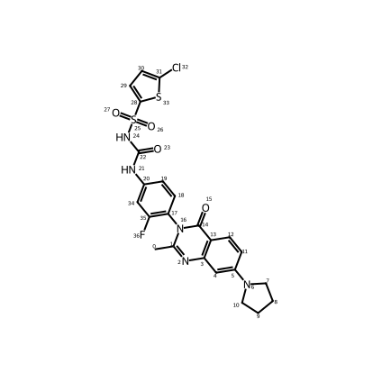 Cc1nc2cc(N3CCCC3)ccc2c(=O)n1-c1ccc(NC(=O)NS(=O)(=O)c2ccc(Cl)s2)cc1F